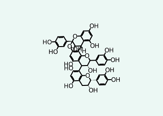 Oc1cc(O)c2c(c1)O[C@@]1(c3ccc(O)c(O)c3)Oc3cc(O)c4c(c3[C@@H]2[C@H]1O)OC(c1ccc(O)c(O)c1)[C@H](O)C4c1c(O)cc(O)c2c1O[C@H](c1ccc(O)c(O)c1)[C@H](O)C2